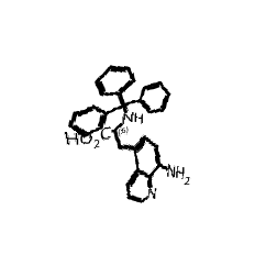 Nc1ccc(C[C@H](NC(c2ccccc2)(c2ccccc2)c2ccccc2)C(=O)O)c2cccnc12